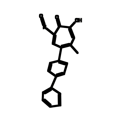 Cc1cc(O)c(=O)c(N=O)cc1-c1ccc(-c2ccccc2)cc1